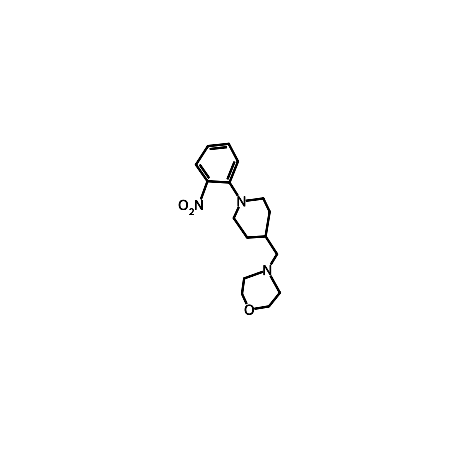 O=[N+]([O-])c1ccccc1N1CCC(CN2CCOCC2)CC1